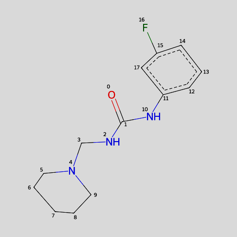 O=C(NCN1CCCCC1)Nc1cccc(F)c1